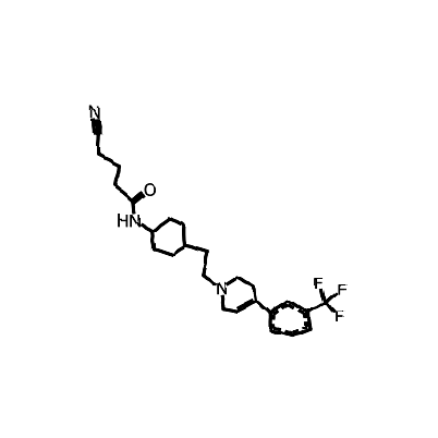 N#CCCCC(=O)NC1CCC(CCN2CC=C(c3cccc(C(F)(F)F)c3)CC2)CC1